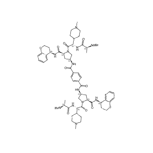 CN[C@@H](C)C(=O)N[C@H](C(=O)N1C[C@@H](NC(=O)c2ccc(C(=O)N[C@H]3C[C@@H](C(=O)N[C@@H]4CCOc5ccccc54)N(C(=O)[C@@H](NC(=O)[C@H](C)NC)C4CCN(C)CC4)C3)cc2)C[C@H]1C(=O)N[C@@H]1CCOc2ccccc21)C1CCN(C)CC1